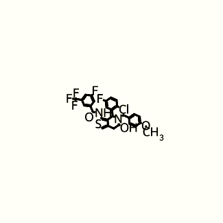 COc1ccc(CN2C(O)Cc3csc(NC(=O)c4cc(F)cc(C(F)(F)F)c4)c3C2c2cc(F)ccc2Cl)cc1